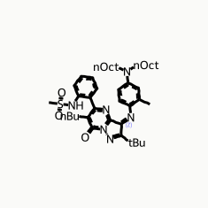 CCCCCCCCN(CCCCCCCC)c1ccc(/N=C2/C(C(C)(C)C)=Nn3c2nc(-c2ccccc2NS(C)(=O)=O)c(CCCC)c3=O)c(C)c1